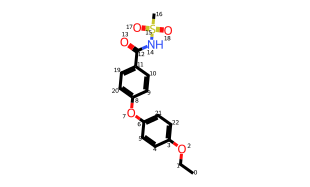 CCOc1ccc(Oc2ccc(C(=O)NS(C)(=O)=O)cc2)cc1